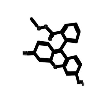 COOC(=O)c1ccccc1-c1c2ccc(=N)cc-2oc2cc(N)ccc12